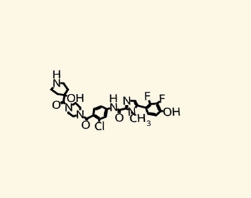 Cn1c(-c2ccc(O)c(F)c2F)cnc1C(=O)Nc1ccc(C(=O)N2CCN(C(=O)C3(O)CCNCC3)CC2)c(Cl)c1